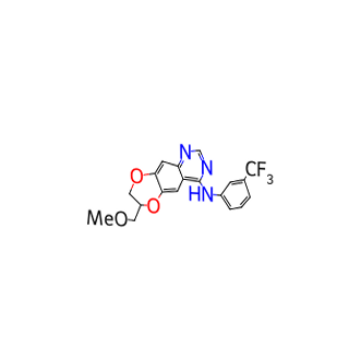 COCC1COc2cc3ncnc(Nc4cccc(C(F)(F)F)c4)c3cc2O1